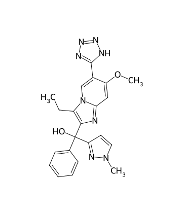 CCc1c(C(O)(c2ccccc2)c2ccn(C)n2)nc2cc(OC)c(-c3nnn[nH]3)cn12